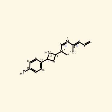 C=C/C=C(CC)/N=C\N(C)C1CC(c2ccc(F)cc2)N1